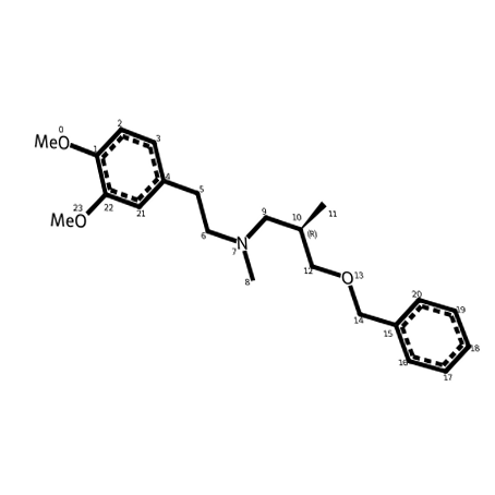 COc1ccc(CCN(C)C[C@@H](C)COCc2ccccc2)cc1OC